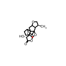 C[C@@H]1COC2CC34C5CCC36C(OC(=O)[C@@H]6O)OC4(C(=O)O5)C21